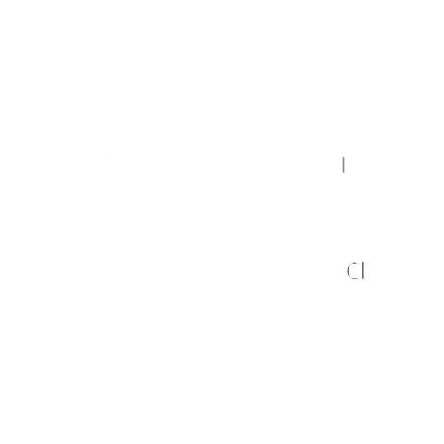 ClC(I)c1ccc2c(c1)C=C2